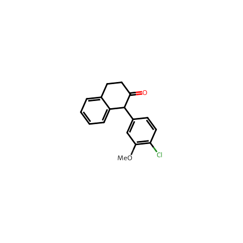 COc1cc(C2C(=O)CCc3ccccc32)ccc1Cl